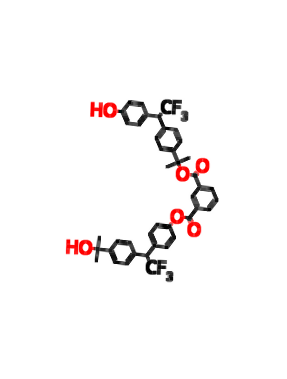 CC(C)(O)c1ccc(C(c2ccc(OC(=O)c3cccc(C(=O)OC(C)(C)c4ccc(C(c5ccc(O)cc5)C(F)(F)F)cc4)c3)cc2)C(F)(F)F)cc1